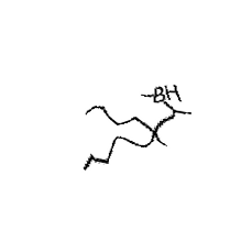 CBC(C)C(C)(CCCC)CCCCC